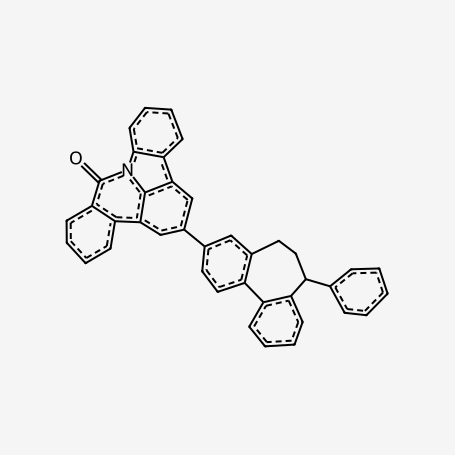 O=c1c2ccccc2c2cc(-c3ccc4c(c3)CCC(c3ccccc3)c3ccccc3-4)cc3c4ccccc4n1c23